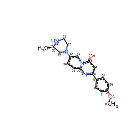 COc1ccc(-c2cc(=O)n3cc(N4CCN[C@H](C)C4)ccc3n2)cc1